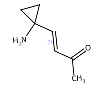 CC(=O)/C=C/C1(N)CC1